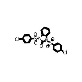 O=c1n(S(=O)(=O)c2ccc(Cl)cc2)c2ccccc2n1S(=O)(=O)c1ccc(Cl)cc1